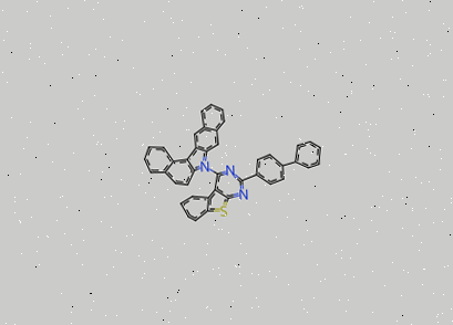 c1ccc(-c2ccc(-c3nc(-n4c5cc6ccccc6cc5c5c6ccccc6ccc54)c4c(n3)sc3ccccc34)cc2)cc1